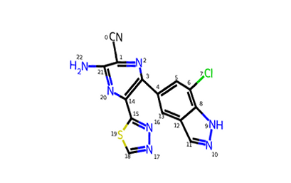 N#Cc1nc(-c2cc(Cl)c3[nH]ncc3c2)c(-c2nncs2)nc1N